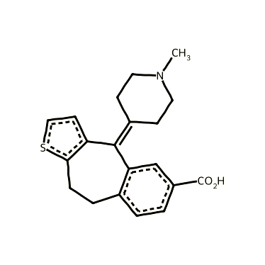 CN1CCC(=C2c3cc(C(=O)O)ccc3CCc3sccc32)CC1